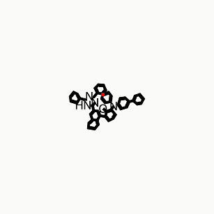 c1ccc(C2=NC(c3cc4ccccc4c4c3oc3c(N(c5ccccc5)c5ccc(-c6ccccc6)cc5)cccc34)NC(c3ccccc3)=N2)cc1